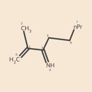 C=C(C)C(=N)CCCCC